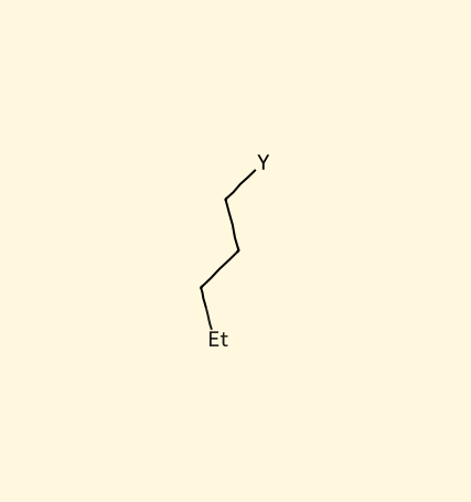 CCCC[CH2][Y]